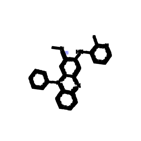 C/N=c1\cc2n(-c3ccccc3)c3ccccc3nc-2cc1Nc1cccnc1C